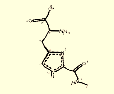 CNC(=O)c1nc(CC(N)C(=O)O)c[nH]1